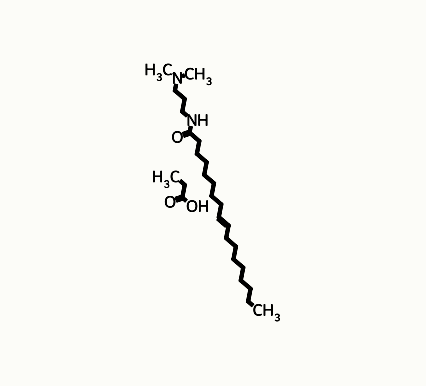 CCC(=O)O.CCCCCCCCC=CCCCCCCCC(=O)NCCCN(C)C